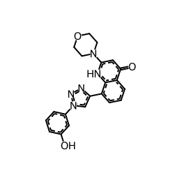 O=c1cc(N2CCOCC2)[nH]c2c(-c3cn(-c4cccc(O)c4)nn3)cccc12